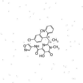 C[C@H](c1nc(C(=O)Nc2cnoc2)c(O)c(=O)n1C)[C@H](c1ccccc1)c1ccc(Cl)cc1C#N